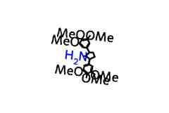 COc1cc(C2CCC(c3cc(OC)c(OC)c(OC)c3)C2N)cc(OC)c1OC